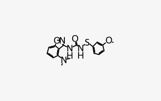 COc1cccc(SNC(=O)Nc2noc3cccc(N(C)C)c23)c1